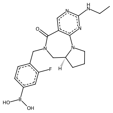 CCNc1ncc2c(n1)N1CCC[C@H]1CN(Cc1ccc(B(O)O)cc1F)C2=O